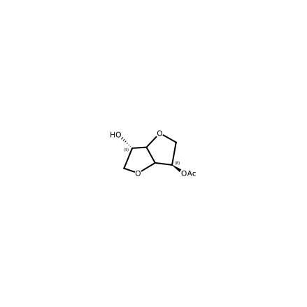 CC(=O)O[C@@H]1COC2C1OC[C@@H]2O